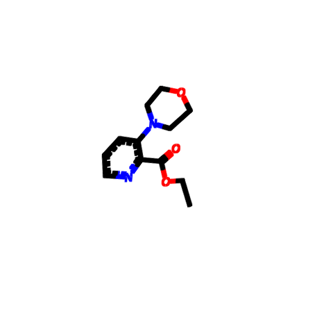 CCOC(=O)c1ncccc1N1CCOCC1